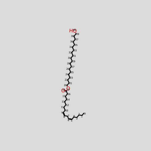 CCCCC/C=C\C/C=C\CCCCCCCC(=O)OCCCCCCCCCCCCCCCCCCCCO